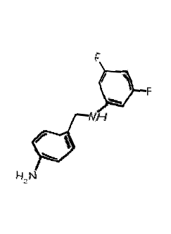 Nc1ccc(CNc2cc(F)cc(F)c2)cc1